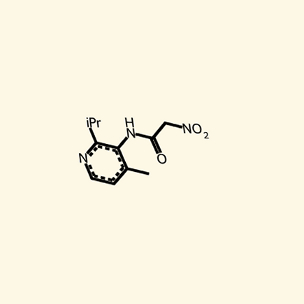 Cc1ccnc(C(C)C)c1NC(=O)C[N+](=O)[O-]